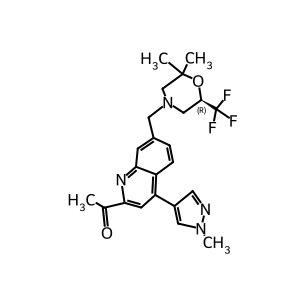 CC(=O)c1cc(-c2cnn(C)c2)c2ccc(CN3C[C@H](C(F)(F)F)OC(C)(C)C3)cc2n1